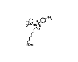 CC12CCC(CC1=O)C2(C)C.CCCCCCCCCCCCCCCCCC(=O)NS(=O)(=O)c1ccc(N)cc1